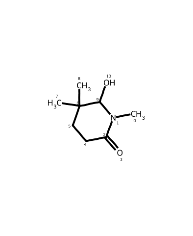 CN1C(=O)CCC(C)(C)C1O